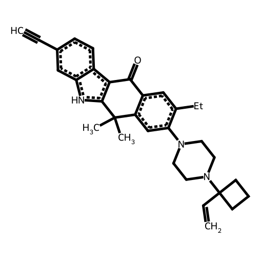 C#Cc1ccc2c3c([nH]c2c1)C(C)(C)c1cc(N2CCN(C4(C=C)CCC4)CC2)c(CC)cc1C3=O